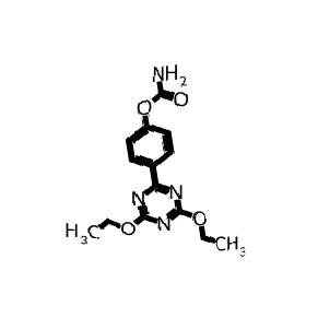 CCOc1nc(OCC)nc(-c2ccc(OC(N)=O)cc2)n1